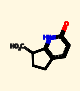 O=C(O)C1CCc2ccc(=O)[nH]c21